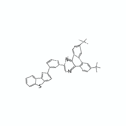 CC(C)(C)c1ccc2c(c1)c1cc(C(C)(C)C)ccc1c1nc(-c3cccc(-c4ccc5sc6ccccc6c5c4)c3)cnc21